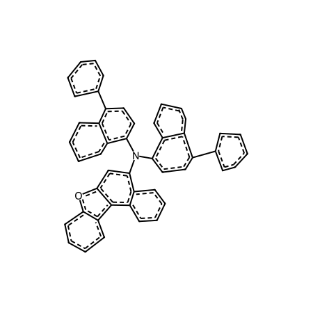 c1ccc(-c2ccc(N(c3ccc(-c4ccccc4)c4ccccc34)c3cc4oc5ccccc5c4c4ccccc34)c3ccccc23)cc1